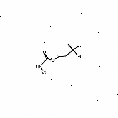 CCNC(=O)OCCC(C)(C)CC